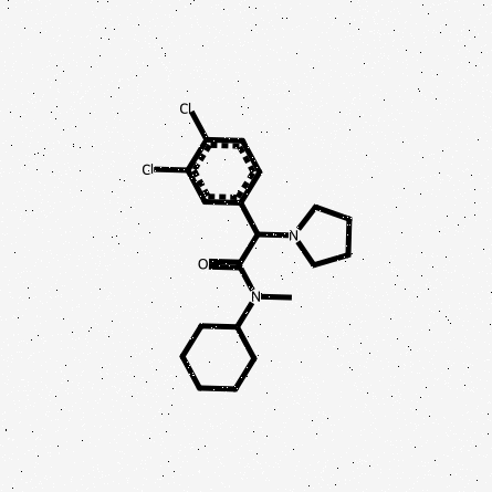 CN(C(=O)C(c1ccc(Cl)c(Cl)c1)N1CCCC1)C1CCCCC1